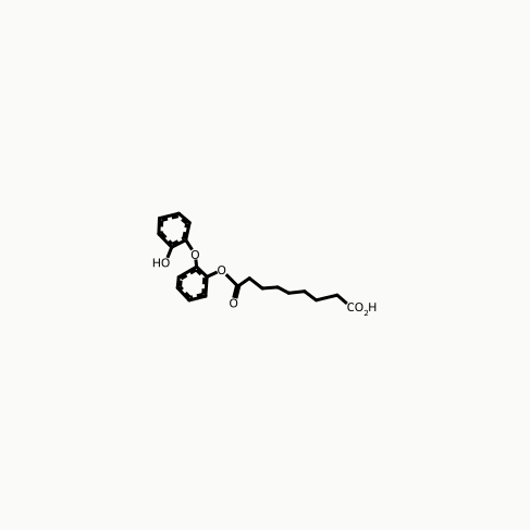 O=C(O)CCCCCCCC(=O)Oc1ccccc1Oc1ccccc1O